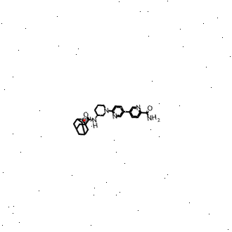 NC(=O)c1ccc(-c2ccc(N3CCC[C@H](NC(=O)C45CC6CC(C4)C(O)C(C6)C5)C3)nc2)cn1